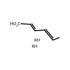 CC=CC=CC(=O)O.[KH].[KH]